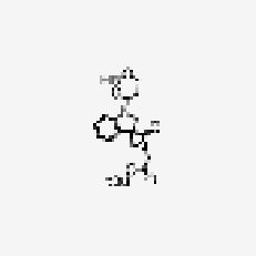 CC(C)(C)OC(=O)CN1CC2(CN(C3CCONO3)c3ccccc32)C1=O